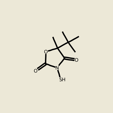 CC(C)(C)C1(C)OC(=O)N(S)C1=O